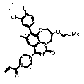 C=CC(=O)N1CCN(c2nc(=O)n3c4c(c(-c5ccc(F)c(Cl)c5)c(C)cc24)SC[C@H](OCOC)C3)CC1